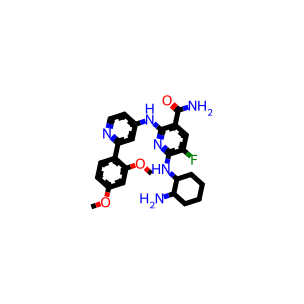 COc1ccc(-c2cc(Nc3nc(NC4CCCCC4N)c(F)cc3C(N)=O)ccn2)c(OC)c1